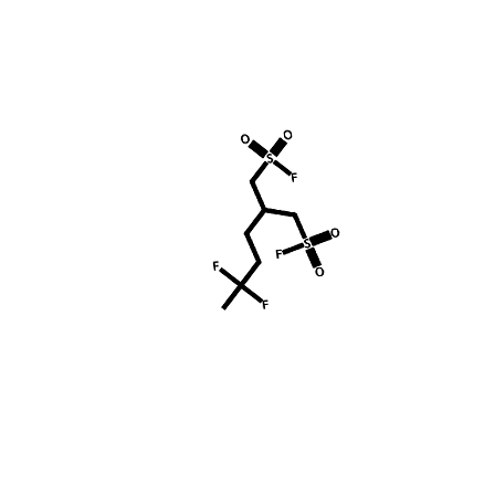 CC(F)(F)CCC(CS(=O)(=O)F)CS(=O)(=O)F